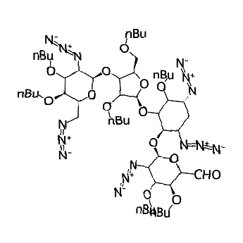 CCCCOC[C@H]1O[C@@H](OC2C(OCCCC)[C@H](N=[N+]=[N-])CC(N=[N+]=[N-])[C@H]2O[C@H]2OC(C=O)[C@@H](OCCCC)C(OCCCC)C2N=[N+]=[N-])C(OCCCC)C1O[C@H]1OC(CN=[N+]=[N-])[C@@H](OCCCC)C(OCCCC)C1N=[N+]=[N-]